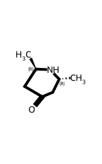 C[C@@H]1CC(=O)C[C@@H](C)N1